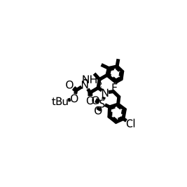 Cc1ccc(F)c(C(C)C(C(=O)N(N)C(=O)OC(C)(C)C)N2CCc3cc(Cl)ccc3S2(=O)=O)c1C